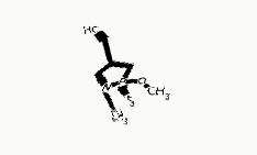 C#CC1CN(C)P(=S)(OC)C1